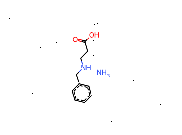 N.O=C(O)CCNCc1ccccc1